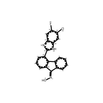 ON=C1c2ccccc2-c2c1cccc2-c1nc2cc(F)c(Cl)cc2[nH]1